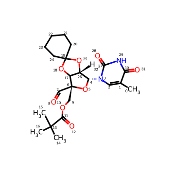 Cc1cn([C@@H]2O[C@@](C=O)(COC(=O)C(C)(C)C)C3OC4(CCCCC4)O[C@@H]32)c(=O)[nH]c1=O